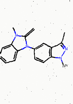 C=C1N(C)c2ccccc2N1c1ccc2c(c1)c(C)nn2CCC